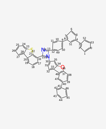 c1ccc(-c2cccc(-c3ccc(C4=NC(c5cccc6c5sc5ccccc56)N4c4ccc5c(c4)oc4ccc(-c6ccccc6)cc45)cc3)c2)cc1